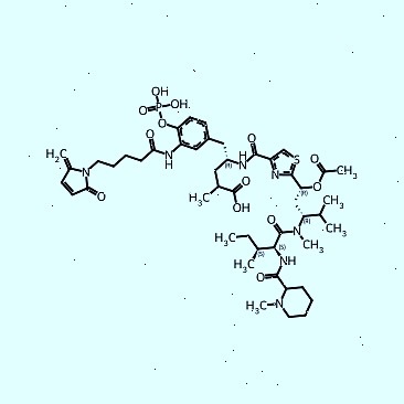 C=C1C=CC(=O)N1CCCCC(=O)Nc1cc(C[C@@H](CC(C)C(=O)O)NC(=O)c2csc([C@@H](C[C@H](C(C)C)N(C)C(=O)[C@@H](NC(=O)C3CCCCN3C)[C@@H](C)CC)OC(C)=O)n2)ccc1OP(=O)(O)O